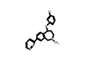 CN1CCC(Oc2cccc(Cl)c2)c2ccc(-c3cccnn3)cc2C1